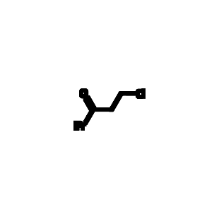 CC(C)C(=O)CCCl